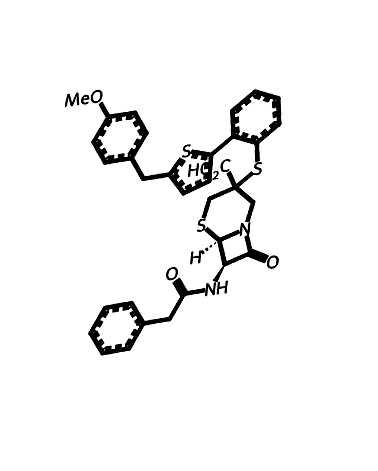 COc1ccc(Cc2ccc(-c3ccccc3SC3(C(=O)O)CS[C@@H]4[C@H](NC(=O)Cc5ccccc5)C(=O)N4C3)s2)cc1